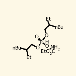 CCCCC(CC)COP(=O)(O)OCC(CC)CCCC.CCOC(N)=O